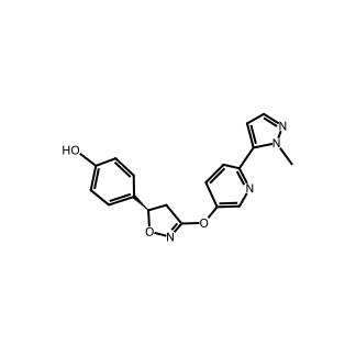 Cn1nccc1-c1ccc(OC2=NO[C@@H](c3ccc(O)cc3)C2)cn1